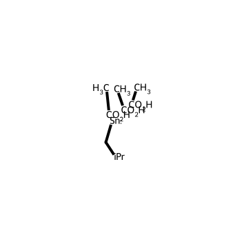 CC(=O)O.CC(=O)O.CC(=O)O.CC(C)[CH2][Sn]